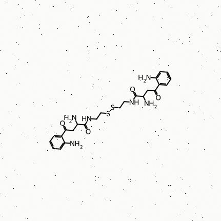 Nc1ccccc1C(=O)CC(N)C(=O)NCCSSCCNC(=O)C(N)CC(=O)c1ccccc1N